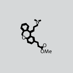 COC(=O)CCc1ccc2c(c1)/C(=C/CCN(C)C)c1ccccc1CO2